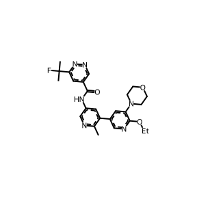 CCOc1ncc(-c2cc(NC(=O)c3cnnc(C(C)(C)F)c3)cnc2C)cc1N1CCOCC1